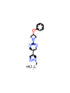 O=C(O)Cn1cc(-c2cnc(N3CC(Oc4ccccc4)C3)nc2)cn1